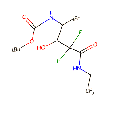 CC(C)C(NC(=O)OC(C)(C)C)C(O)C(F)(F)C(=O)NCC(F)(F)F